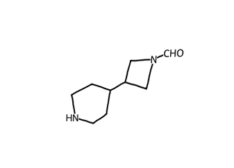 O=CN1CC(C2CCNCC2)C1